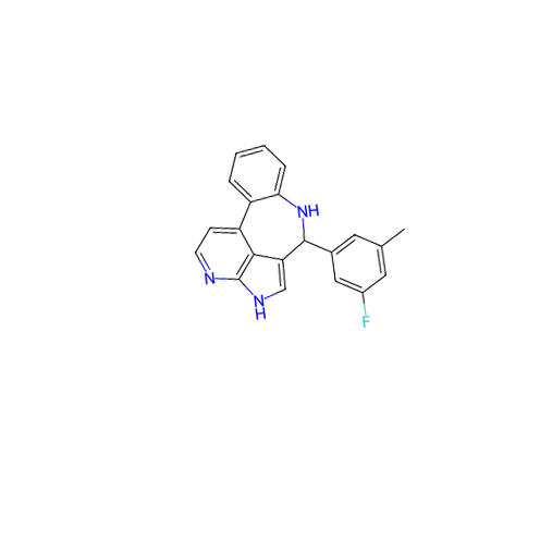 Cc1cc(F)cc(C2Nc3ccccc3-c3ccnc4[nH]cc2c34)c1